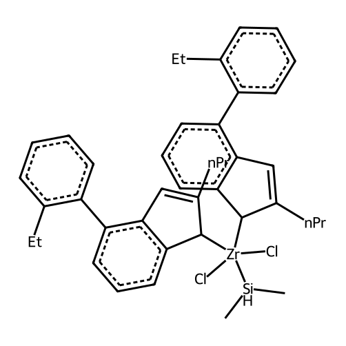 CCCC1=Cc2c(-c3ccccc3CC)cccc2[CH]1[Zr]([Cl])([Cl])([CH]1C(CCC)=Cc2c(-c3ccccc3CC)cccc21)[SiH](C)C